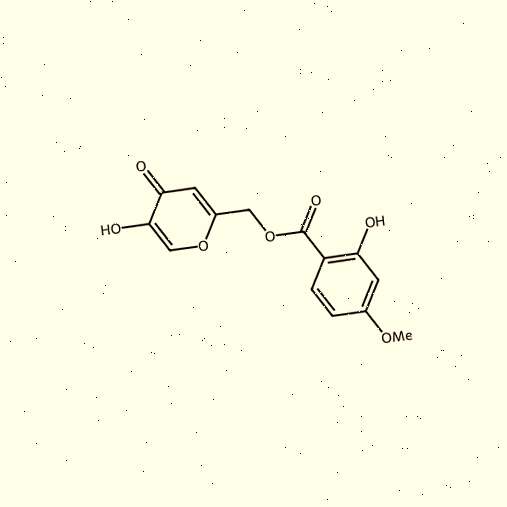 COc1ccc(C(=O)OCc2cc(=O)c(O)co2)c(O)c1